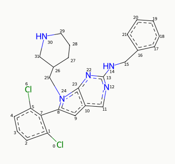 Clc1cccc(Cl)c1-c1cc2cnc(NCc3ccccc3)nc2n1CC1CCCNC1